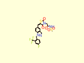 CS(=O)(=O)NC(=O)CN1C(=O)SC(=Cc2ccc3c(cnn3Cc3ccc(F)cc3C(F)(F)F)c2)C1=O